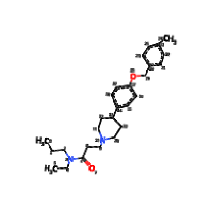 CCCN(CC)C(=O)CCN1CCC(c2ccc(OCc3ccc(C)cc3)cc2)CC1